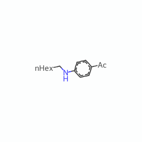 CCCCCCCNc1ccc(C(C)=O)cc1